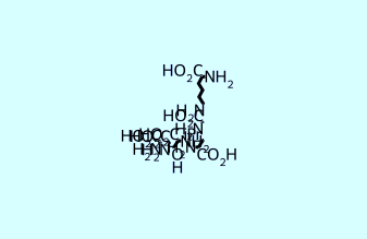 CC(C)CC(N)C(=O)O.NC(CO)C(=O)O.NCC(=O)O.NCC(=O)O.NCC(=O)O.NCCCCC(N)C(=O)O